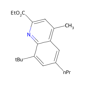 CCCc1cc(C(C)(C)C)c2nc(C(=O)OCC)cc(C)c2c1